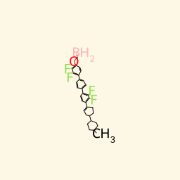 BCOc1ccc(-c2ccc(-c3ccc(C4=CCC(C5CCC(C)CC5)CC4)c(F)c3F)cc2)c(F)c1F